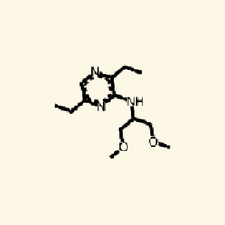 CCc1cnc(CC)c(NC(COC)COC)n1